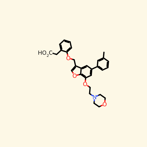 Cc1cccc(-c2cc(OCCN3CCOCC3)c3occ(COc4ccccc4CC(=O)O)c3c2)c1